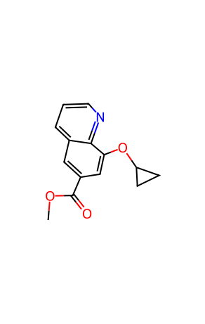 COC(=O)c1cc(OC2CC2)c2ncccc2c1